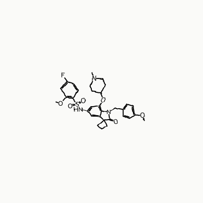 COc1ccc(CN2C(=O)C3(CCC3)c3cc(NS(=O)(=O)c4ccc(F)cc4OC)cc(OC4CCN(C)CC4)c32)cc1